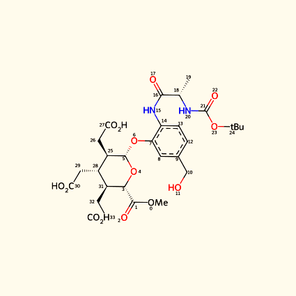 COC(=O)[C@H]1O[C@@H](Oc2cc(CO)ccc2NC(=O)[C@H](C)NC(=O)OC(C)(C)C)[C@H](CC(=O)O)[C@@H](CC(=O)O)[C@@H]1CC(=O)O